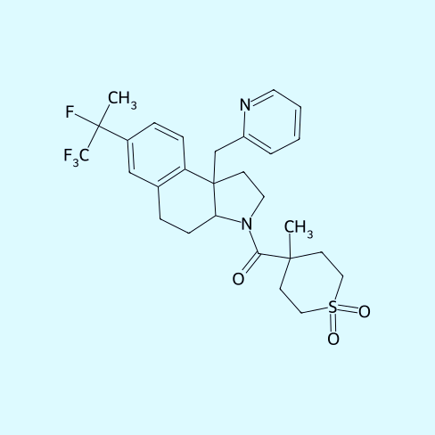 CC1(C(=O)N2CCC3(Cc4ccccn4)c4ccc(C(C)(F)C(F)(F)F)cc4CCC23)CCS(=O)(=O)CC1